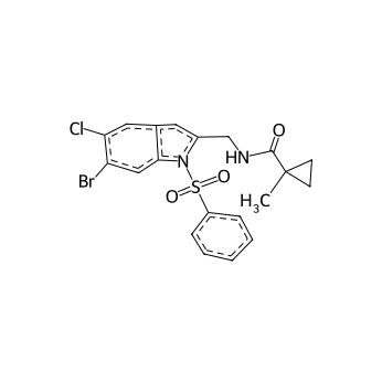 CC1(C(=O)NCc2cc3cc(Cl)c(Br)cc3n2S(=O)(=O)c2ccccc2)CC1